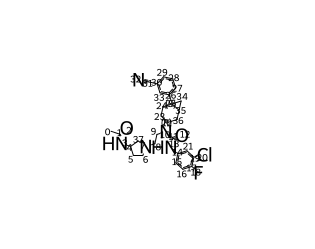 CC(=O)NC1CCN(CCN(C(=O)Nc2ccc(F)c(Cl)c2)[C@@H]2CC[C@]3(c4cccc(C#N)c4)CC3C2)C1